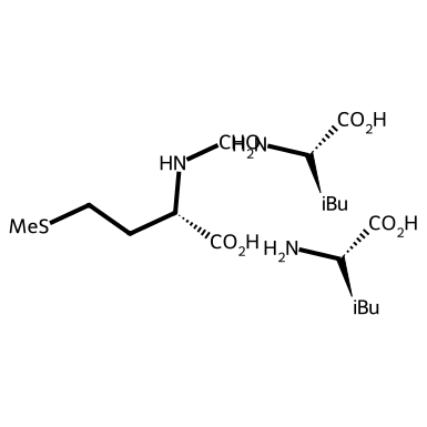 CC[C@H](C)[C@H](N)C(=O)O.CC[C@H](C)[C@H](N)C(=O)O.CSCC[C@H](NC=O)C(=O)O